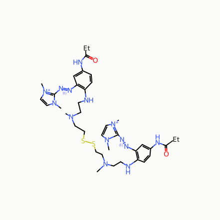 CCC(=O)Nc1ccc(NCCN(C)CCSSCCN(C)CCNc2ccc(NC(=O)CC)cc2/N=N/c2n(C)cc[n+]2C)c(/N=N/c2n(C)cc[n+]2C)c1